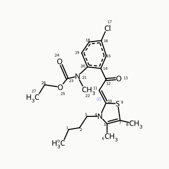 CCCCN1C(C)=C(C)S/C1=C\C(=O)c1cc(Cl)ccc1N(C)C(=O)OCC